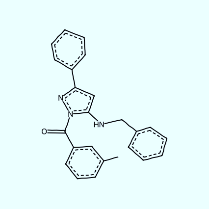 Cc1cccc(C(=O)n2nc(-c3ccccc3)cc2NCc2ccccc2)c1